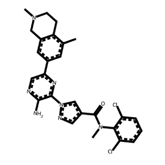 Cc1cc(-c2cnc(N)c(-n3cc(C(=O)N(C)c4c(Cl)cccc4Cl)cn3)n2)cc2c1CCN(C)C2